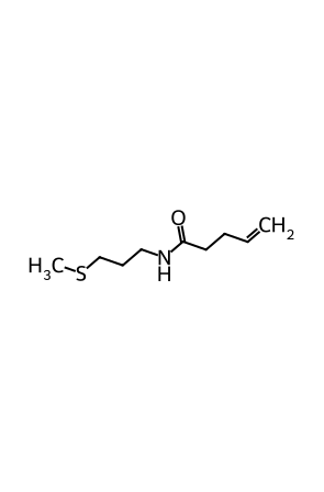 C=CCCC(=O)NCCCSC